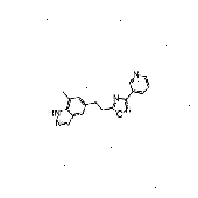 Cc1cc(CCc2nc(-c3cccnc3)no2)cc2cn[nH]c12